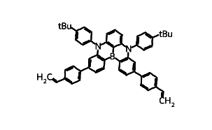 C=Cc1ccc(-c2ccc3c(c2)N(c2ccc(C(C)(C)C)cc2)c2cccc4c2B3c2ccc(-c3ccc(C=C)cc3)cc2N4c2ccc(C(C)(C)C)cc2)cc1